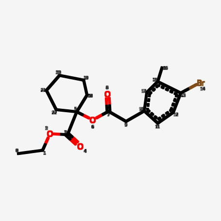 CCOC(=O)C1(OC(=O)Cc2ccc(Br)c(C)c2)CCCCC1